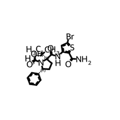 CC(C)(C)[C@]1(C(=O)Nc2cc(Br)sc2C(N)=O)CC[C@H](c2ccccc2)N1C(=O)O